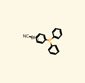 BC#N.c1ccc(P(c2ccccc2)c2ccccc2)cc1